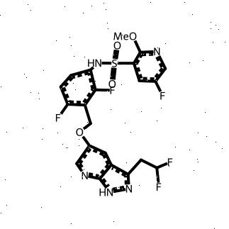 COc1ncc(F)cc1S(=O)(=O)Nc1ccc(F)c(COc2cnc3[nH]nc(CC(F)F)c3c2)c1F